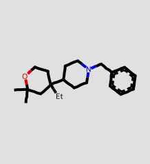 CCC1(C2CCN(Cc3ccccc3)CC2)CCOC(C)(C)C1